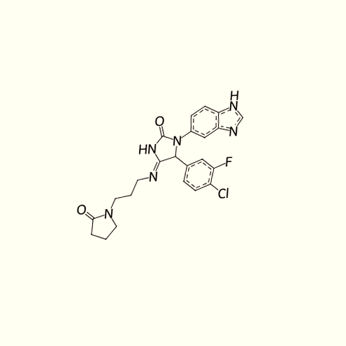 O=C1CCCN1CCCN=C1NC(=O)N(c2ccc3[nH]cnc3c2)C1c1ccc(Cl)c(F)c1